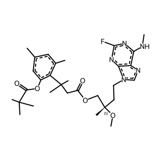 CNc1nc(F)nc2c1ncn2CC[C@@](C)(COC(=O)CC(C)(C)c1c(C)cc(C)cc1OC(=O)C(C)(C)C)OC